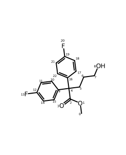 COC(=O)C(CCCO)(c1ccc(F)cc1)c1ccc(F)cc1